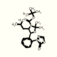 CC(C)CC1C(c2ccccc2-n2ncoc2=O)OC(C)(C)N1C(=O)OC(C)(C)C